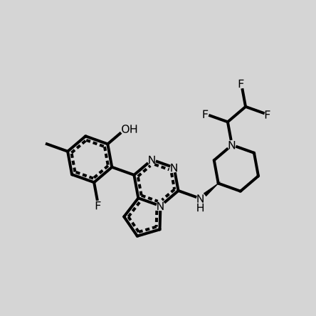 Cc1cc(O)c(-c2nnc(N[C@@H]3CCCN(C(F)C(F)F)C3)n3cccc23)c(F)c1